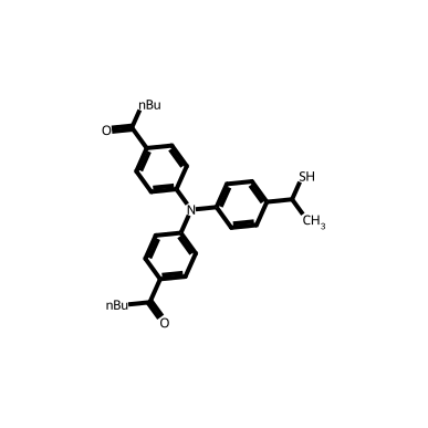 CCCCC(=O)c1ccc(N(c2ccc(C(=O)CCCC)cc2)c2ccc(C(C)S)cc2)cc1